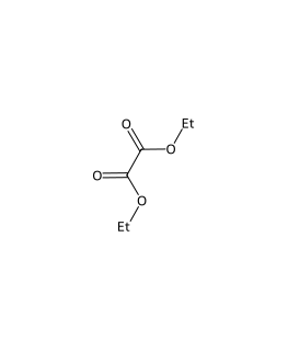 [CH2]COC(=O)C(=O)OCC